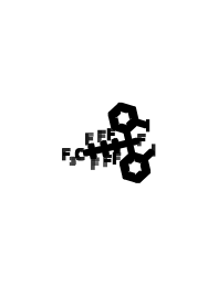 FC(F)(F)C(F)(F)C(F)(F)C(F)(F)C(F)(c1ccccc1I)c1ccccc1I